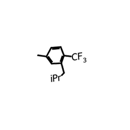 Cc1ccc(C(F)(F)F)c(CC(C)C)c1